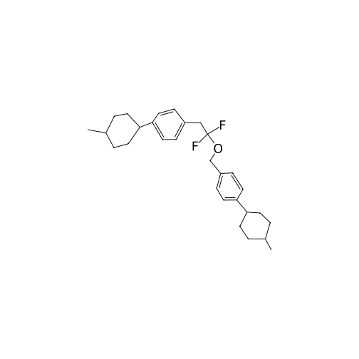 CC1CCC(c2ccc(COC(F)(F)Cc3ccc(C4CCC(C)CC4)cc3)cc2)CC1